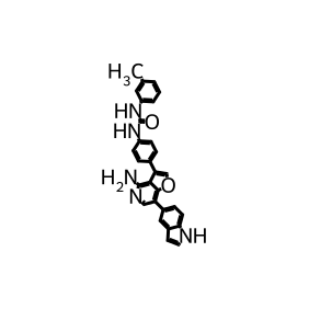 Cc1cccc(NC(=O)Nc2ccc(-c3coc4c(-c5ccc6[nH]ccc6c5)cnc(N)c34)cc2)c1